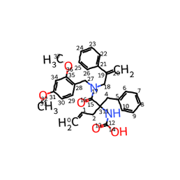 C=CCC(Cc1ccccc1)(NC(=O)O)C(=O)N(CC(=C)c1ccccc1)Cc1ccc(OC)cc1OC